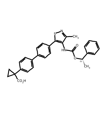 Cc1nsc(-c2ccc(-c3ccc(C4(C(=O)O)CC4)cc3)cc2)c1NC(=O)O[C@@H](C)c1ccccc1